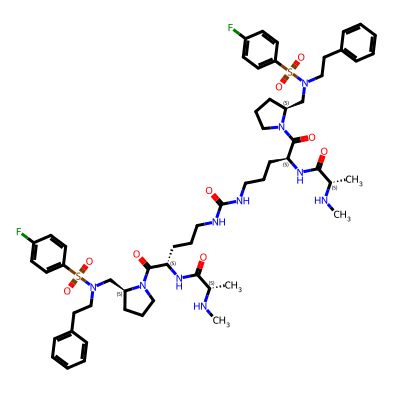 CN[C@@H](C)C(=O)N[C@@H](CCCNC(=O)NCCC[C@H](NC(=O)[C@H](C)NC)C(=O)N1CCC[C@H]1CN(CCc1ccccc1)S(=O)(=O)c1ccc(F)cc1)C(=O)N1CCC[C@H]1CN(CCc1ccccc1)S(=O)(=O)c1ccc(F)cc1